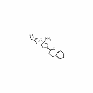 BCCC[C@H]1CN(C(=O)[C@@H](C)Cc2ccccc2)C[C@@]1(N)C(=O)O